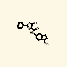 CCCN1CCc2cc(NC(=O)c3nc(-c4ccccc4)oc3C(C)C)ccc21